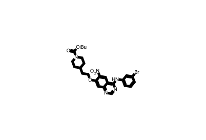 CC(C)COC(=O)N1CCC(CCOc2cc3ncnc(Nc4cccc(Br)c4)c3cc2[N+](=O)[O-])CC1